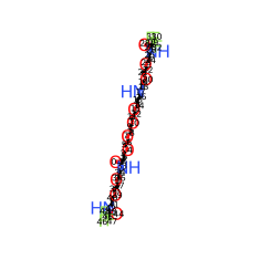 O=C(CCOCCOCCOCCOCCCNCCOCCOCCNC(=O)C(F)(F)F)NCCOCCOCCNC(=O)C(F)(F)F